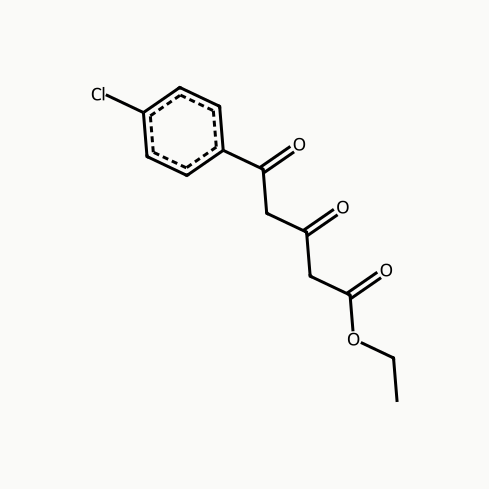 CCOC(=O)CC(=O)CC(=O)c1ccc(Cl)cc1